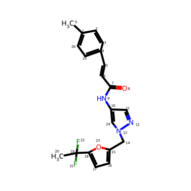 Cc1ccc(/C=C/C(=O)Nc2cnn(Cc3ccc(C(C)(F)F)o3)c2)cc1